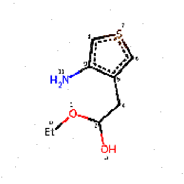 CCOC(O)Cc1cscc1N